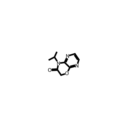 CC(C)N1C(=O)COc2nccnc21